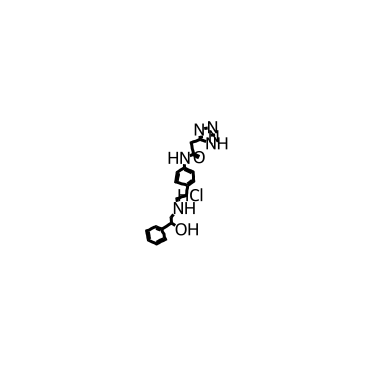 Cl.O=C(Cc1nnn[nH]1)Nc1ccc(CCNCC(O)c2ccccc2)cc1